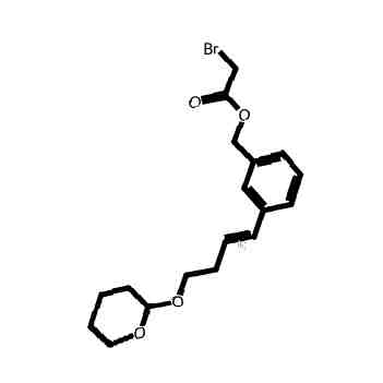 O=C(CBr)OCc1cccc(/C=C/CCOC2CCCCO2)c1